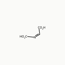 O=C(O)/C=N\C(=O)O